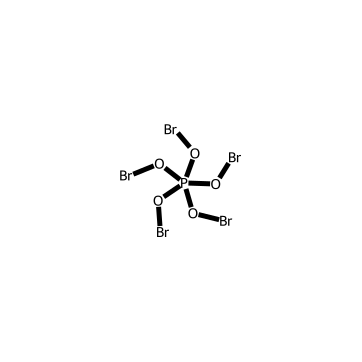 BrOP(OBr)(OBr)(OBr)OBr